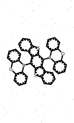 c1ccc2c(c1)Oc1ccccc1B2c1c2sc3ccccc3c2c(B2c3ccccc3Oc3ccccc32)c2sc3ccccc3c12